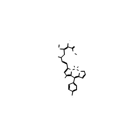 C=C(OC)/C(OC)=C(\CC(C)/C=C/c1cc(C)c2n1[B-](F)(F)N1CC=CC1=C2c1ccc(N)cc1)OC